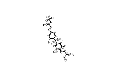 CCS(=O)(=O)C[C@H](O)COc1ccc(C(C)(C)c2cc(Cl)c(OC[C@@H](C)CCl)c(Cl)c2)cc1